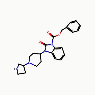 O=C(OCc1ccccc1)n1c(=O)n(C2CCN(C3CCNC3)CC2)c2ccccc21